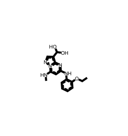 CCOc1ccccc1Nc1cc(NC)n2ncc(C(O)O)c2n1